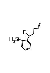 C=CCCC(F)c1ccccc1[SiH3]